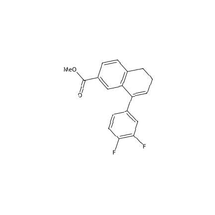 COC(=O)c1ccc2c(c1)C(c1ccc(F)c(F)c1)=CCC2